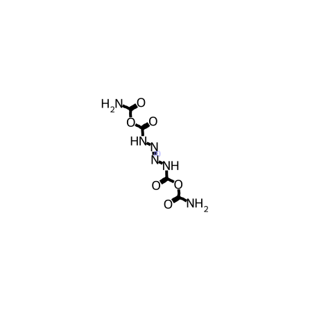 NC(=O)OC(=O)N/N=N/NC(=O)OC(N)=O